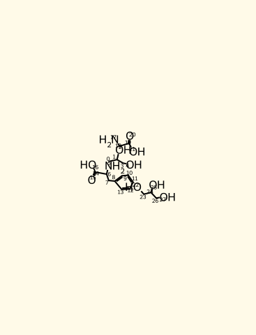 CC(O)CO.NC(Cc1ccccc1)C(=O)O.NCC(=O)O.OCC(O)CO